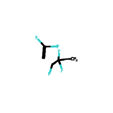 C=C(F)F.FCC(F)(F)C(F)(F)F